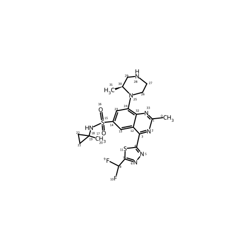 Cc1nc(-c2nnc(C(F)F)s2)c2cc(S(=O)(=O)NC3(C)CC3)cc(N3CCNC[C@@H]3C)c2n1